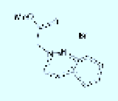 COC(=O)C[n+]1ccc2ccccc2n1.[Br-]